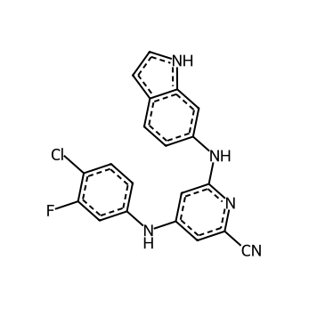 N#Cc1cc(Nc2ccc(Cl)c(F)c2)cc(Nc2ccc3cc[nH]c3c2)n1